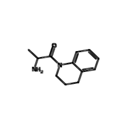 CC(N)C(=O)N1CCCc2ccccc21